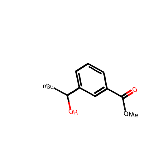 CCCCC(O)c1cccc(C(=O)OC)c1